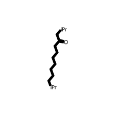 CC(C)CCCCCCCC(=O)CC(C)C